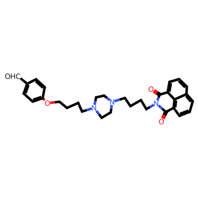 O=Cc1ccc(OCCCCN2CCN(CCCCN3C(=O)c4cccc5cccc(c45)C3=O)CC2)cc1